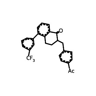 CC(=O)c1ccc(CC2CCc3c(cccc3-c3cccc(C(F)(F)F)c3)C2=O)cc1